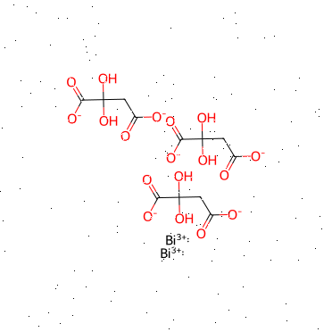 O=C([O-])CC(O)(O)C(=O)[O-].O=C([O-])CC(O)(O)C(=O)[O-].O=C([O-])CC(O)(O)C(=O)[O-].[Bi+3].[Bi+3]